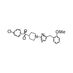 COc1ccccc1Cc1csc(N2CCC(S(=O)(=O)c3ccc(Cl)cc3)CC2)n1